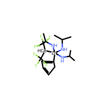 CC(C)[NH][Zr]([NH]C(C)C)([NH]C(C)C)([C]1=CC=CC1)[GeH]([C](F)(F)F)[C](F)(F)F